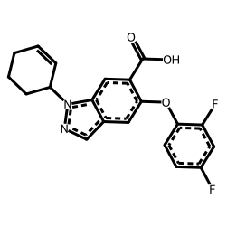 O=C(O)c1cc2c(cnn2C2C=CCCC2)cc1Oc1ccc(F)cc1F